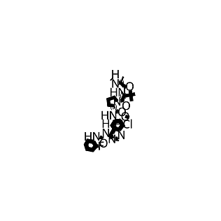 CN[C@@H](C)C(=O)N[C@H](C(=O)N1CCC[C@H]1C(=O)Nc1cc2c(NC(=O)Nc3ccccc3F)ncnc2cc1OC)C(C)(C)C.Cl